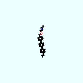 C=Cc1ccc(-c2ccc(-c3ccc(COC/C=C/CC)cc3)cc2)cc1